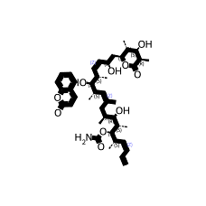 C=C/C=C\[C@H](C)[C@H](OC(N)=O)[C@@H](C)[C@H](O)[C@@H](C)C/C(C)=C\[C@H](C)[C@@H](O)[C@@H](C)/C=C\[C@@H](O)C[C@@H]1OC(=O)[C@H](C)[C@@H](O)[C@H]1C.O=c1ccc2ccccc2o1